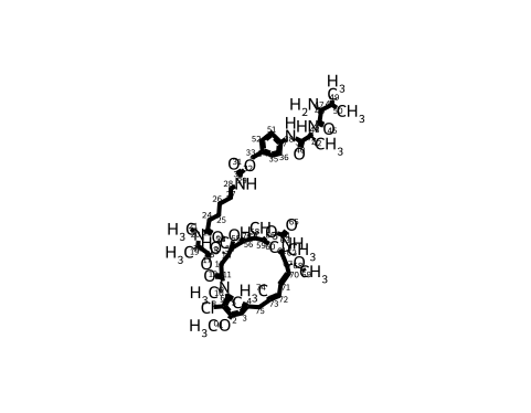 COc1cc2cc(c1Cl)N(C)C(=O)C[C@H](OC(=O)[C@H](C)N(C)C(=O)CCCCCNC(=O)OCc1ccc(NC(=O)[C@H](C)NC(=O)[C@@H](N)C(C)C)cc1)[C@]1(C)O[C@H]1[C@H](C)C1C[C@@](C)(NC(=O)O1)[C@H](OC)/C=C/C=C(\C)C2